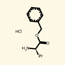 CC(C)[C@@H](N)C(=O)OCc1ccccc1.Cl